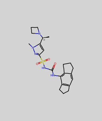 C[C@@H](c1cc(S(=O)(=O)NC(=O)Nc2c3c(cc4c2CCC4)CCC3)nn1C)N1CCC1